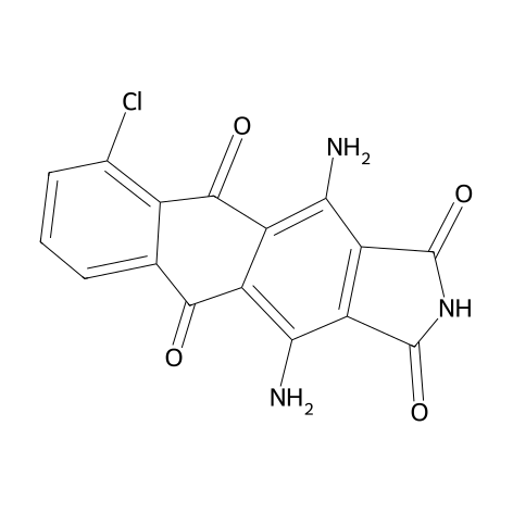 Nc1c2c(=O)[nH]c(=O)c2c(N)c2c(=O)c3c(Cl)cccc3c(=O)c12